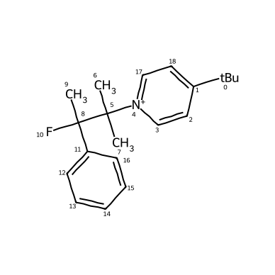 CC(C)(C)c1cc[n+](C(C)(C)C(C)(F)c2ccccc2)cc1